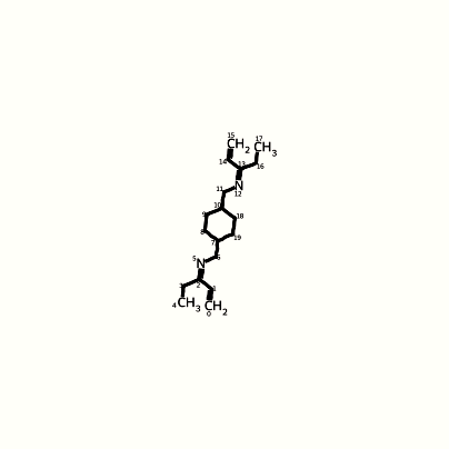 C=CC(CC)=NCC1CCC(CN=C(C=C)CC)CC1